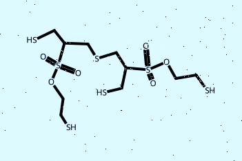 O=S(=O)(OCCS)C(CS)CSCC(CS)S(=O)(=O)OCCS